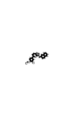 O=COc1ccc(-c2ccc3nnn(Cc4ccc5ccccc5c4)c3n2)cc1Cl